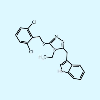 CCn1c(Cc2c[nH]c3ccccc23)nnc1SCc1c(Cl)cccc1Cl